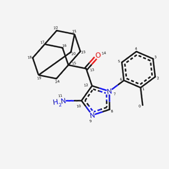 Cc1ccccc1-n1cnc(N)c1C(=O)C12CC3CC(CC(C3)C1)C2